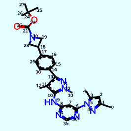 Cc1cc(C)n(-c2cc(Nc3c(C)c(-c4ccc(C5CN(C(=O)OC(C)(C)C)C5)cc4)nn3C)ncn2)n1